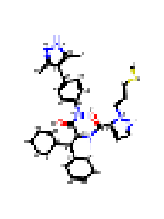 CSCCCn1nccc1C(=O)N[C@H](C(=O)Nc1ccc(-c2c(C)n[nH]c2C)cc1)C(C1CCCCC1)C1CCCCC1